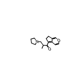 CC(CN1CCCC1)C(=O)C1=C2C=COC=C2CC1